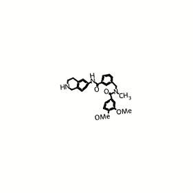 COc1ccc(C(=O)N(C)Cc2cccc(C(=O)Nc3ccc4c(c3)CCNC4)c2)cc1OC